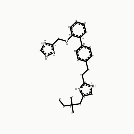 CCC(C)(C)Cc1c[nH]c(CCc2ccc(-c3ccccc3OCc3nnc[nH]3)cc2)n1